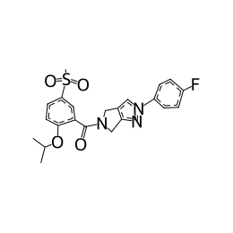 CC(C)Oc1ccc(S(C)(=O)=O)cc1C(=O)N1Cc2cn(-c3ccc(F)cc3)nc2C1